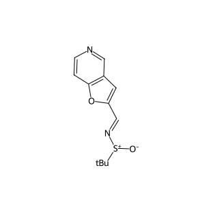 CC(C)(C)[S+]([O-])/N=C/c1cc2cnccc2o1